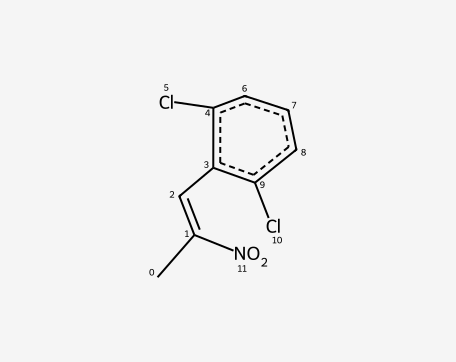 C/C(=C/c1c(Cl)cccc1Cl)[N+](=O)[O-]